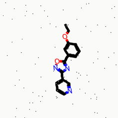 CCOc1cccc(-c2nc(-c3cccnc3)no2)c1